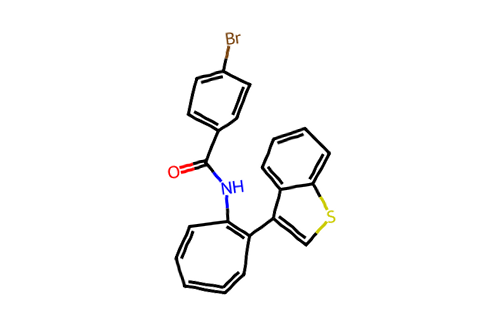 O=C(NC1=C(c2csc3ccccc23)C=C=CC=C1)c1ccc(Br)cc1